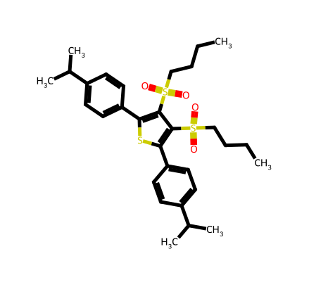 CCCCS(=O)(=O)c1c(-c2ccc(C(C)C)cc2)sc(-c2ccc(C(C)C)cc2)c1S(=O)(=O)CCCC